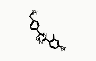 Cc1cc(Br)ccc1-c1noc(-c2ccc(CC(C)C)cc2)n1